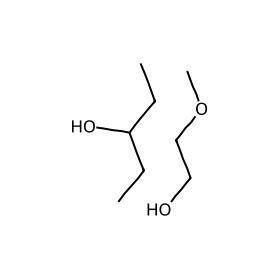 CCC(O)CC.COCCO